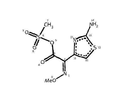 CON=C(C(=O)OS(C)(=O)=O)c1csc(N)n1